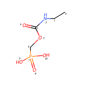 CCNC(=O)OCP(=O)(O)O